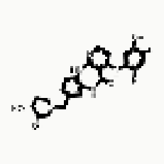 Cc1cc(F)c(Nc2ccnc3c2C(=O)Nc2cc(CN4CC[C@@H](O)[C@@H](O)C4)ccc2N3)cc1O